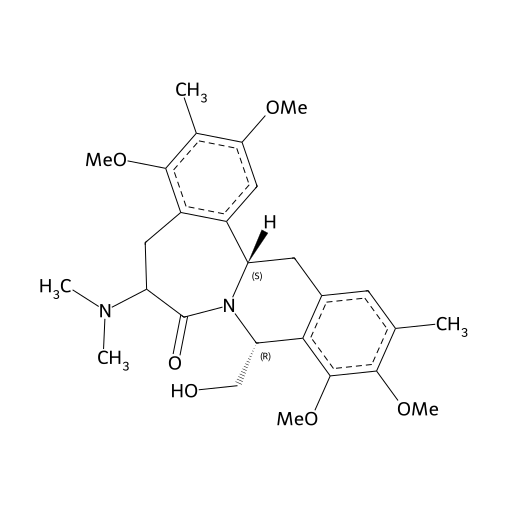 COc1cc2c(c(OC)c1C)CC(N(C)C)C(=O)N1[C@H]2Cc2cc(C)c(OC)c(OC)c2[C@@H]1CO